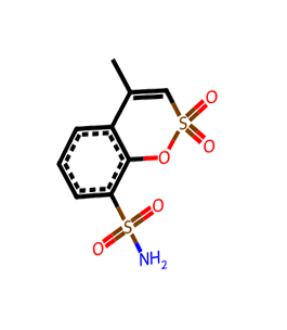 CC1=CS(=O)(=O)Oc2c1cccc2S(N)(=O)=O